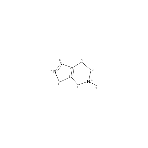 CN1CCC2=C(CN=N2)C1